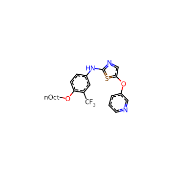 CCCCCCCCOc1ccc(Nc2ncc(Oc3cccnc3)s2)cc1C(F)(F)F